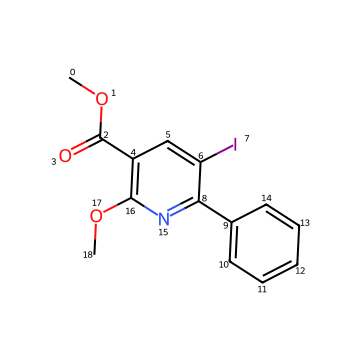 COC(=O)c1cc(I)c(-c2ccccc2)nc1OC